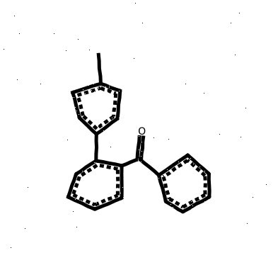 Cc1ccc(-c2ccccc2C(=O)c2ccccc2)cc1